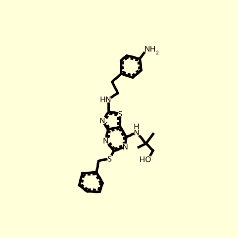 CC(C)(CO)Nc1nc(SCc2ccccc2)nc2nc(NCCc3ccc(N)cc3)sc12